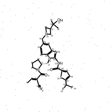 C/C=C(\C#N)C(=O)N1CCC[C@@H]1Cn1c(NC(=O)c2ccc(C(F)F)s2)nc2cc(CN3CC(C(C)(C)O)C3)ccc21